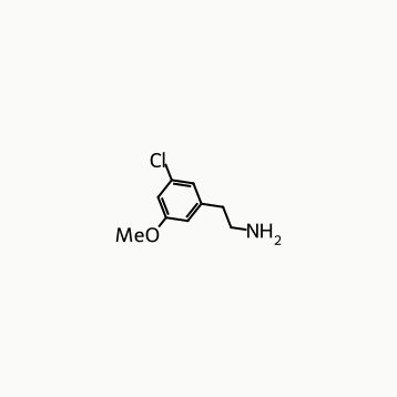 COc1cc(Cl)cc(CCN)c1